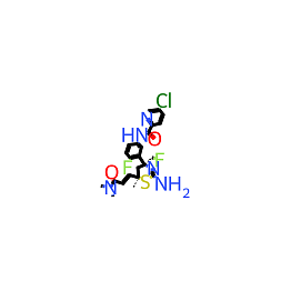 CN(C)C(=O)/C=C/[C@@]1(C)C[C@@](CF)(c2cc(NC(=O)c3ccc(Cl)cn3)ccc2F)N=C(N)S1